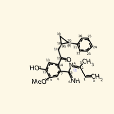 C=C/C(C)=N\C(=N)c1cc(OC)c(O)cc1C(=O)C[C@H]1C[C@H]1c1ccccc1